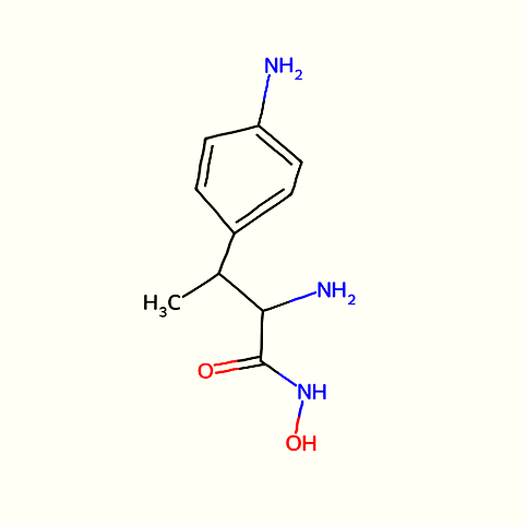 CC(c1ccc(N)cc1)C(N)C(=O)NO